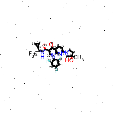 CC1(O)CCN(c2ccc3c(=O)c(C(=O)NC(C4CC4)C(F)(F)F)cn(-c4c(F)cc(F)cc4F)c3n2)C1